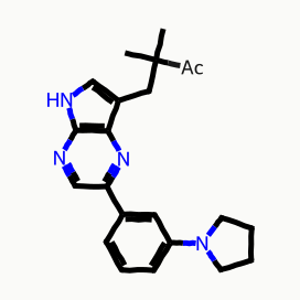 CC(=O)C(C)(C)Cc1c[nH]c2ncc(-c3cccc(N4CCCC4)c3)nc12